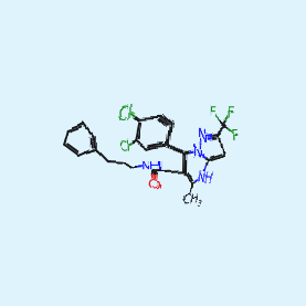 CC1=C(C(=O)NCCCc2ccccc2)C(c2ccc(Cl)c(Cl)c2)n2nc(C(F)(F)F)cc2N1